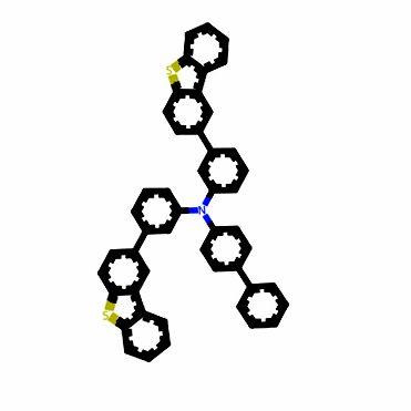 c1ccc(-c2ccc(N(c3cccc(-c4ccc5sc6ccccc6c5c4)c3)c3cccc(-c4ccc5sc6ccccc6c5c4)c3)cc2)cc1